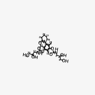 O=C(NCC(O)CO)Oc1c(I)c(OC(=O)NCC(O)CO)c(I)c(N2CCCCC2=O)c1I